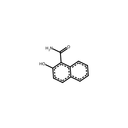 NC(=O)c1c(O)ccc2ccccc12